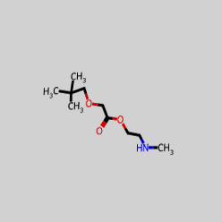 CNCCOC(=O)COCC(C)(C)C